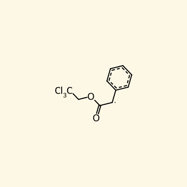 O=C([CH]c1ccccc1)OCC(Cl)(Cl)Cl